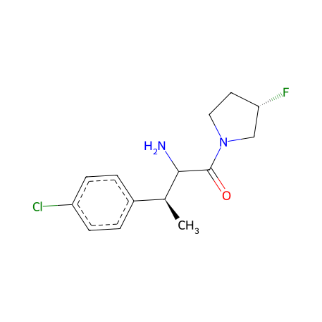 C[C@@H](c1ccc(Cl)cc1)C(N)C(=O)N1CC[C@H](F)C1